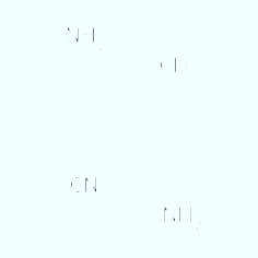 CC(=C/N)/C(C#N)=C\N